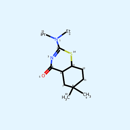 CCN(C1=NC(=O)C2CC(C)(C)CCC2S1)C(C)C